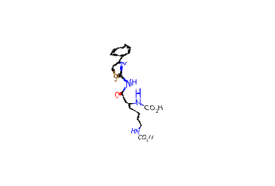 O=C(O)NCCCCC(NC(=O)O)C(=O)Nc1nc(-c2ccccc2)cs1